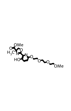 COCCOCCOCCOc1ccc(O)c(C2=N[C@@](C)(C(=O)OC)CO2)n1